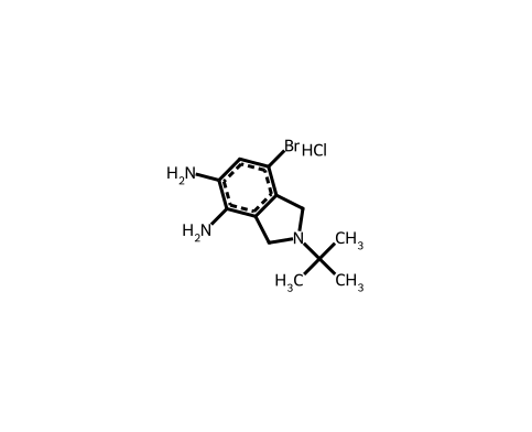 CC(C)(C)N1Cc2c(Br)cc(N)c(N)c2C1.Cl